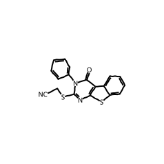 N#CCSc1nc2sc3ccccc3c2c(=O)n1-c1ccccc1